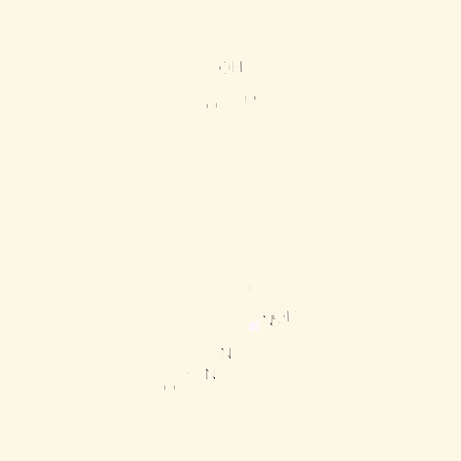 Cc1ccccc1[C@H](C/C(=N\O)c1ccc(=O)n(C)n1)c1ccc(-c2ccc(OC(=O)O)cc2)cc1